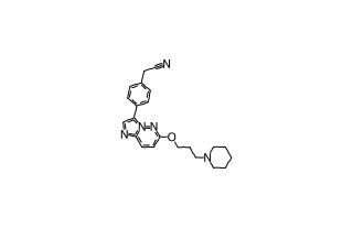 N#CCc1ccc(-c2cnc3ccc(OCCCN4CCCCC4)nn23)cc1